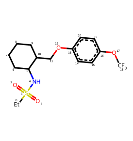 CCS(=O)(=O)NC1CCCCC1COc1ccc(OC(F)(F)F)cc1